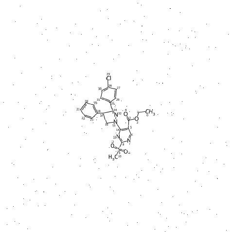 CCOC(=O)c1cnc(S(C)(=O)=O)nc1N1CC(c2ccccc2)C(c2ccc(Cl)cc2)=N1